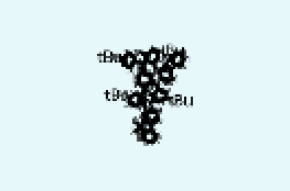 Cc1cc(C(C)(C)C)cc(C)c1N(c1ccc(C(C)(C)C)cc1)c1ccc2c(c1)N(c1ccc3c(c1)oc1ccccc13)c1cc(C(C)(C)C)cc3c1B2c1cc(C(C)(C)C)ccc1N3c1ccc2c(c1)C(C)(C)c1ccccc1-2